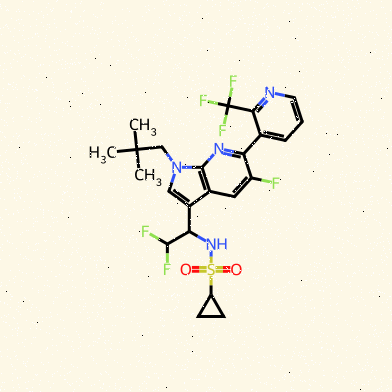 CC(C)(C)Cn1cc(C(NS(=O)(=O)C2CC2)C(F)F)c2cc(F)c(-c3cccnc3C(F)(F)F)nc21